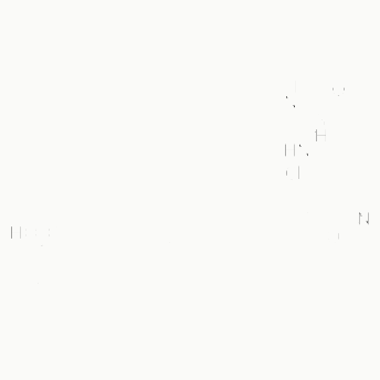 C[SH](=O)(Nc1ccccc1Cl)Nc1cnoc1-c1ccc(-c2ccc(C3(C(=O)O)CC3)cc2)cc1